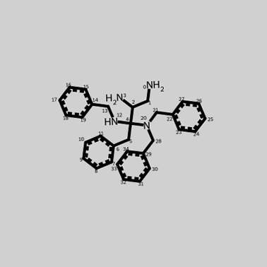 NCC(N)C(Cc1ccccc1)(NCc1ccccc1)N(Cc1ccccc1)Cc1ccccc1